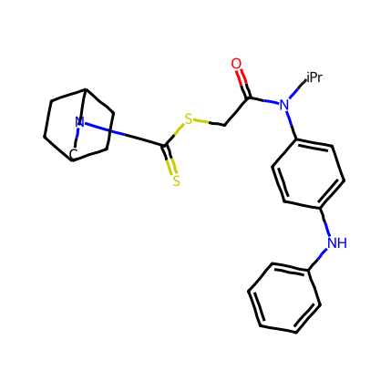 CC(C)N(C(=O)CSC(=S)N1CC2CCC(CC2)C1)c1ccc(Nc2ccccc2)cc1